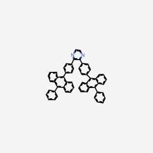 c1ccc(-c2c3ccccc3c(-c3ccc(-c4nccnc4-c4ccc(-c5c6ccccc6c(-c6ccccc6)c6ccccc56)cc4)cc3)c3ccccc23)cc1